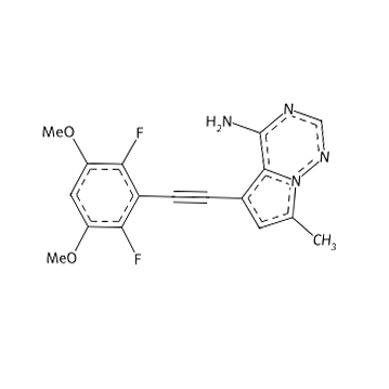 COc1cc(OC)c(F)c(C#Cc2cc(C)n3ncnc(N)c23)c1F